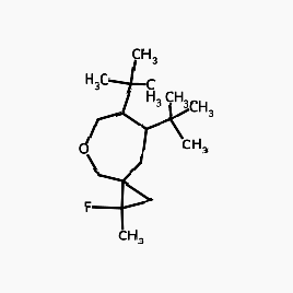 CC(C)(C)C1COCC2(CC1C(C)(C)C)CC2(C)F